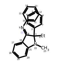 CCC1(c2ccccc2)/C(=N\c2ccccc2)c2ccccc2N1C